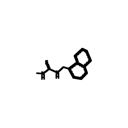 CNC(=S)NCc1cccc2ccccc12